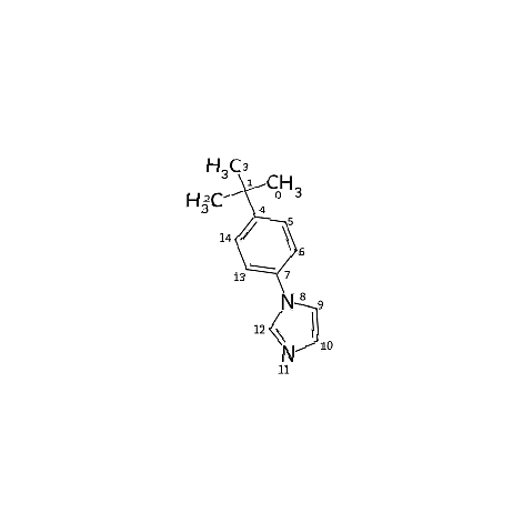 CC(C)(C)c1ccc(-n2ccnc2)cc1